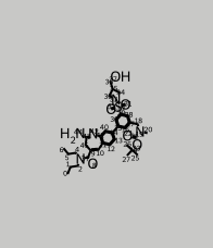 CCCN(CCC)C(=O)C1=Cc2ccc(-c3cc(CN(C)C(=O)OC(C)(C)C)cc(S(=O)(=O)N4CC(CO)C4)c3)cc2N=C(N)C1